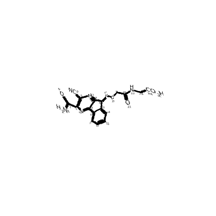 N#Cc1nc2c(nc1C(N)=O)-c1ccccc1/C2=N\OCC(=O)NCC(=O)O